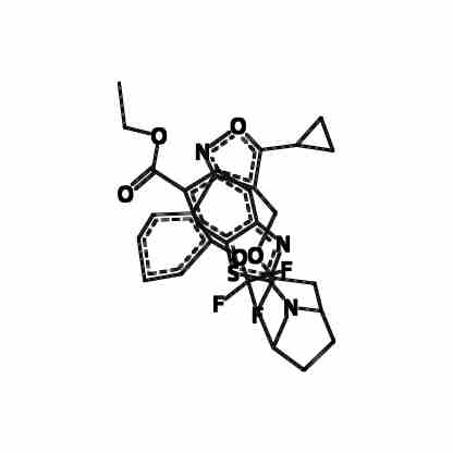 CCOC(=O)c1ccc2nc(N3C4CCC3CC(OCc3c(-c5ccccc5OC(F)(F)F)noc3C3CC3)C4)sc2c1